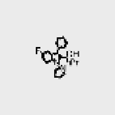 CCCC(O)c1c(-c2ccccc2)c2cc(F)ccc2n1-c1ccccn1